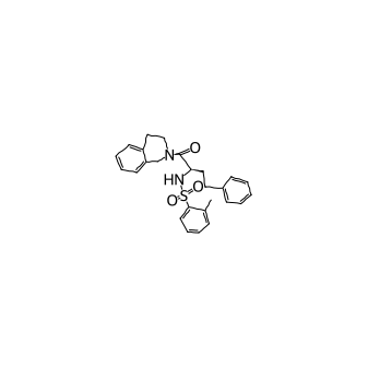 Cc1ccccc1S(=O)(=O)N[C@H](CCc1ccccc1)C(=O)N1CCc2ccccc2C1